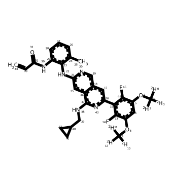 [2H]C([2H])([2H])Oc1cc(OC([2H])([2H])[2H])c(F)c(-c2cc3cnc(Nc4c(C)cccc4NC(=O)C=C)cc3c(NCC3CC3)n2)c1F